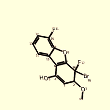 COC1C=C(O)c2c(oc3c(F)cccc23)C1(F)Br